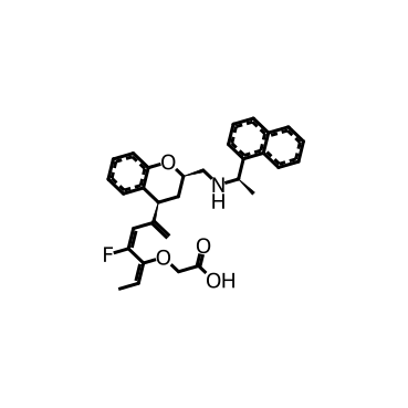 C=C(/C=C(F)\C(=C/C)OCC(=O)O)[C@@H]1C[C@H](CN[C@H](C)c2cccc3ccccc23)Oc2ccccc21